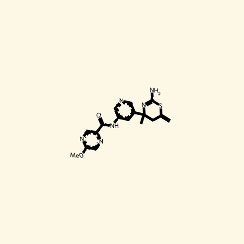 C=C1CC(C)(c2cncc(NC(=O)c3cnc(OC)cn3)c2)N=C(N)S1